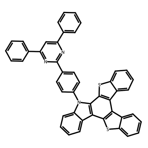 c1ccc(-c2cc(-c3ccccc3)nc(-c3ccc(-n4c5ccccc5c5c6sc7ccccc7c6c6c7ccccc7sc6c54)cc3)n2)cc1